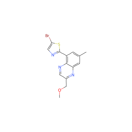 COCc1cnc2c(-c3ncc(Br)s3)cc(C)cc2n1